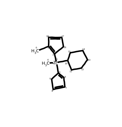 CC1=[C]([Zr]([CH3])([C]2=CC=CC2)[CH]2CCCCC2)CC=C1